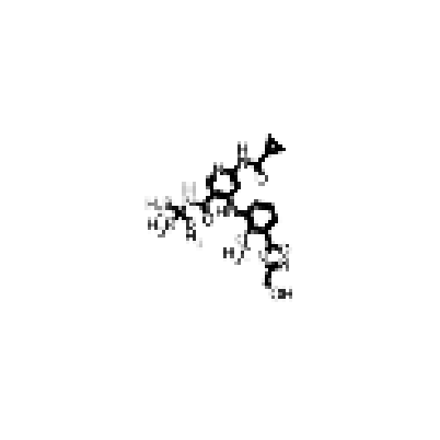 BC(B)(B)NC(=O)c1cnc(NC(=O)C2CC2)cc1Nc1cccc(-c2nc(CO)no2)c1OC